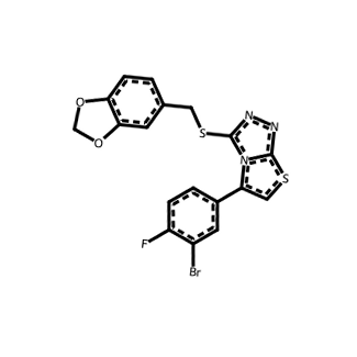 Fc1ccc(-c2csc3nnc(SCc4ccc5c(c4)OCO5)n23)cc1Br